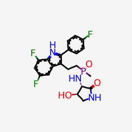 CP(=O)(CCc1c(-c2ccc(F)cc2)[nH]c2c(F)cc(F)cc12)N[C@@H]1C(=O)NC[C@H]1O